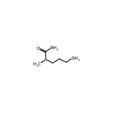 CN(CCC[SiH3])C(N)=O